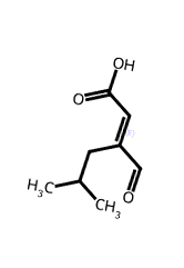 CC(C)C/C(C=O)=C\C(=O)O